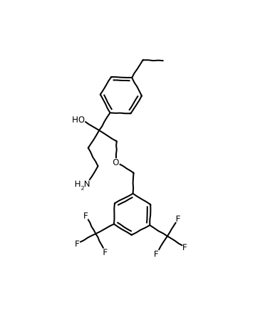 CCc1ccc(C(O)(CCN)COCc2cc(C(F)(F)F)cc(C(F)(F)F)c2)cc1